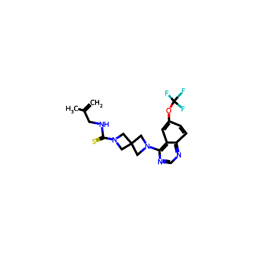 C=C(C)CNC(=S)N1CC2(C1)CN(c1ncnc3ccc(OC(F)(F)F)cc13)C2